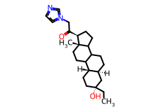 CC[C@@]1(O)CC[C@@H]2C3CC[C@@]4(C)C(CC[C@@H]4C(=O)Cn4ccnc4)C3CC[C@H]2C1